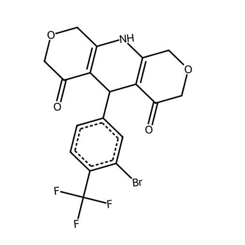 O=C1COCC2=C1C(c1ccc(C(F)(F)F)c(Br)c1)C1=C(COCC1=O)N2